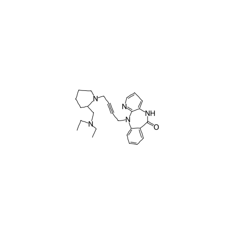 CCN(CC)CC1CCCCN1CC#CCN1c2ccccc2C(=O)Nc2cccnc21